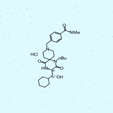 CCCCN1C(=O)[C@@H]([C@H](O)C2CCCCC2)NC(=O)C12CCN(Cc1ccc(C(=O)NC)cc1)CC2.Cl